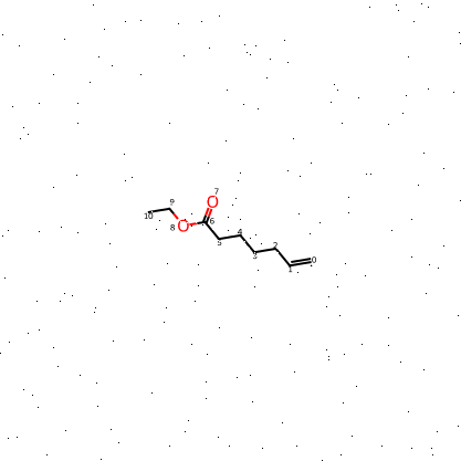 [CH]=CCCCCC(=O)OCC